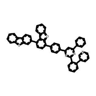 c1ccc(-c2cc(-c3ccc(-c4ccc(-c5ccc6c(c5)sc5ccccc56)c5c4oc4ccccc45)cc3)nc(-c3ccccc3-c3cccnc3)n2)cc1